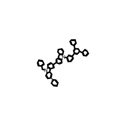 C1=CC[C@@H](C2=CC3c4cc(-c5ccc6c(c5)c5c(n6-c6cccc(C7=CC(c8ccccc8)CC(c8ccccc8)=C7)c6)C=CCC5)ccc4N(Cc4ccccc4)C3C=C2)C=C1